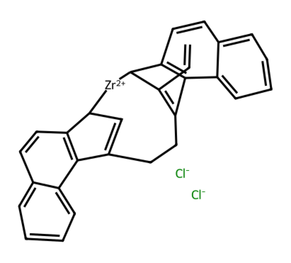 C=CC1=C2CCC3=C[CH]([Zr+2][CH]1c1ccc4ccccc4c12)c1ccc2ccccc2c13.[Cl-].[Cl-]